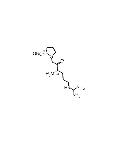 NC(N)NCCC[C@H](N)C(=O)CN1CCC[C@H]1C=O